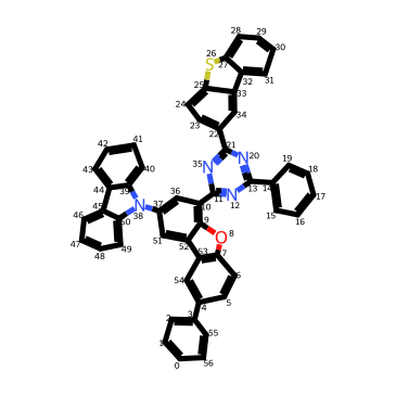 c1ccc(-c2ccc3oc4c(-c5nc(-c6ccccc6)nc(-c6ccc7sc8ccccc8c7c6)n5)cc(-n5c6ccccc6c6ccccc65)cc4c3c2)cc1